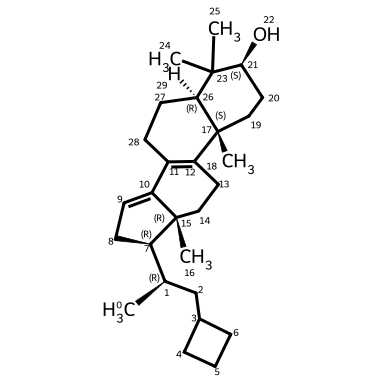 C[C@H](CC1CCC1)[C@H]1CC=C2C3=C(CC[C@@]21C)[C@@]1(C)CC[C@H](O)C(C)(C)[C@@H]1CC3